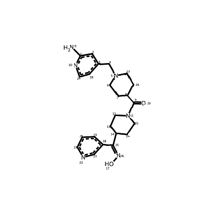 Nc1cc(CN2CCC(C(=O)N3CCC(C(=NO)c4cccnc4)CC3)CC2)ccn1